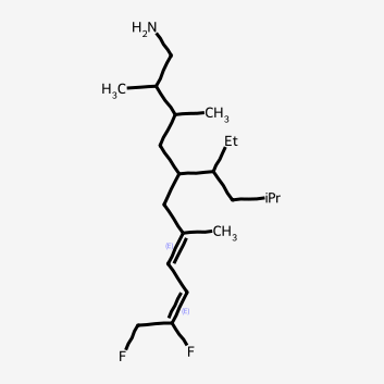 CCC(CC(C)C)C(C/C(C)=C/C=C(/F)CF)CC(C)C(C)CN